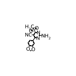 CS(=O)(=O)c1nc(N)nc(-c2ccc3c(c2)OCO3)c1C#N